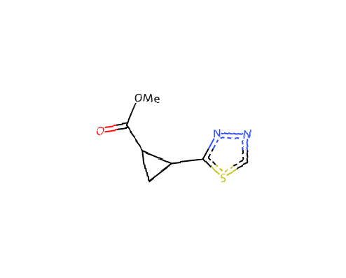 COC(=O)C1CC1c1nncs1